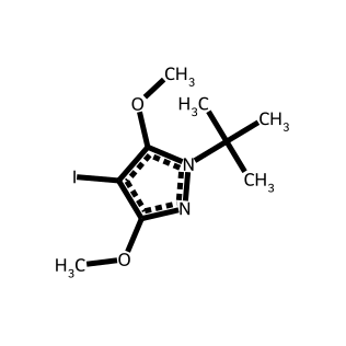 COc1nn(C(C)(C)C)c(OC)c1I